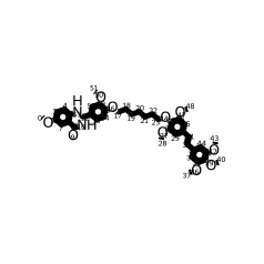 COc1ccc2c(c1)C(=O)NC(c1ccc(OCCCCCCCOc3c(OC)cc(C=Cc4cc(OC)c(OC)c(OC)c4)cc3OC)c(OC)c1)N2